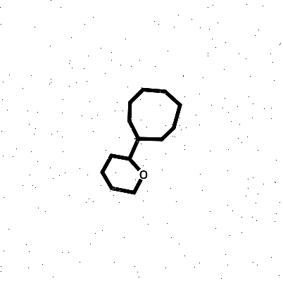 C1CCC[C](C2CCCCO2)CCC1